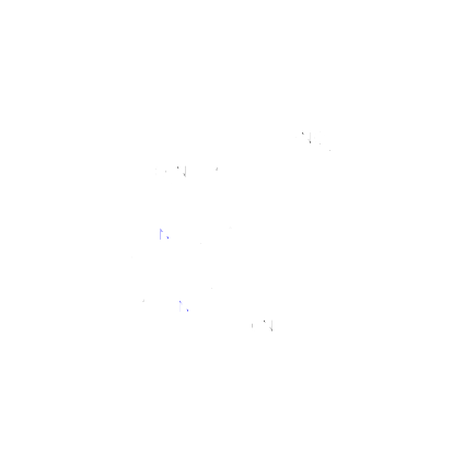 N#CCc1nccnc1-c1ccc([N+](=O)[O-])cc1[N+](=O)[O-]